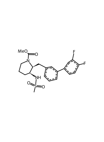 COC(=O)N1CCC[C@H](NS(C)(=O)=O)[C@@H]1Cc1cccc(-c2ccc(F)c(F)c2)c1